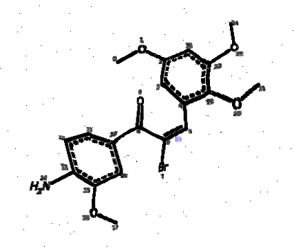 COc1cc(/C=C(/Br)C(=O)c2ccc(N)c(OC)c2)c(OC)c(OC)c1